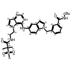 CC(C)(C)NC(=O)c1cccc(Cn2ccc3cc(Nc4ncnc5ccn(CCNC(=O)C(C)(C)S(C)(=O)=O)c45)ccc32)c1